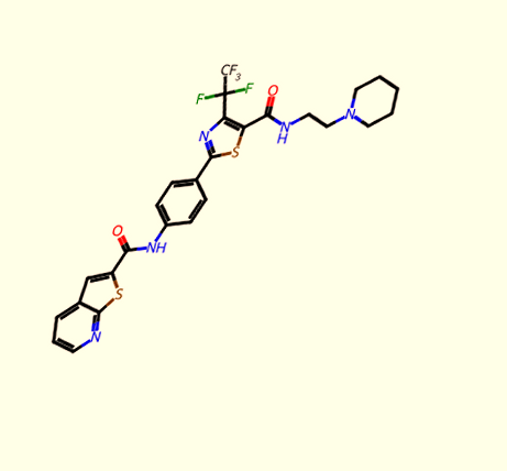 O=C(Nc1ccc(-c2nc(C(F)(F)C(F)(F)F)c(C(=O)NCCN3CCCCC3)s2)cc1)c1cc2cccnc2s1